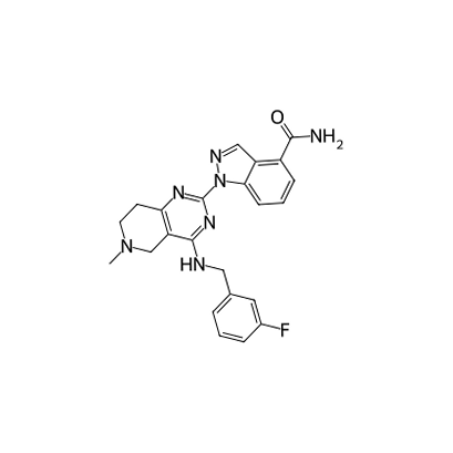 CN1CCc2nc(-n3ncc4c(C(N)=O)cccc43)nc(NCc3cccc(F)c3)c2C1